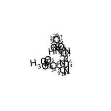 CS(=O)(=O)c1ccc(-c2ccnc3ccc(-c4cncc(NS(=O)(=O)c5ccccc5)c4)nc23)cc1